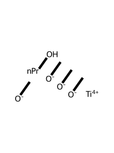 CCCO.C[O-].C[O-].C[O-].C[O-].[Ti+4]